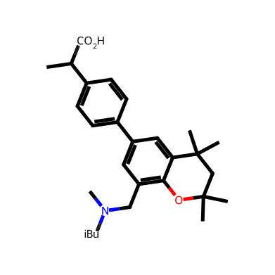 CCC(C)N(C)Cc1cc(-c2ccc(C(C)C(=O)O)cc2)cc2c1OC(C)(C)CC2(C)C